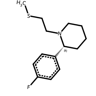 CSCCN1CCCC[C@@H]1c1ccc(F)cc1